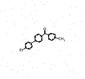 CCc1ccc(-c2ccc(C(=O)c3ccc(C)cc3)cc2)cc1